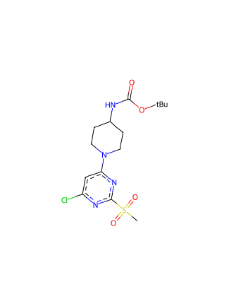 CC(C)(C)OC(=O)NC1CCN(c2cc(Cl)nc(S(C)(=O)=O)n2)CC1